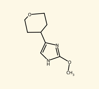 COc1nc(C2CCOCC2)c[nH]1